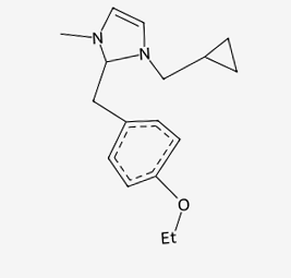 CCOc1ccc(CC2N(C)C=CN2CC2CC2)cc1